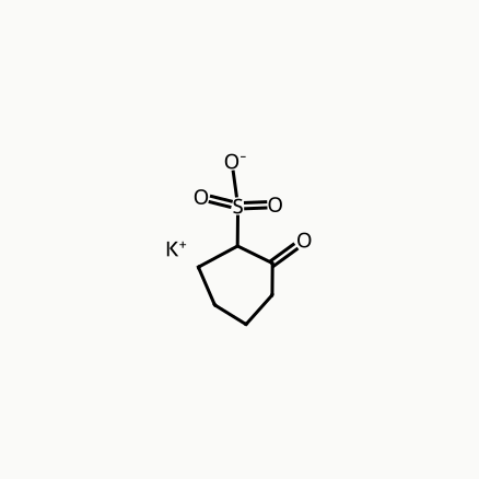 O=C1CCCCC1S(=O)(=O)[O-].[K+]